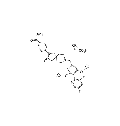 COC(=O)c1ccc(N2CC3(CCN(Cc4cc(OC5CC5)c(-c5ncc(F)cc5F)c(OC5CC5)c4)CC3)CC2=O)cc1.O=C(O)CC(F)(F)F